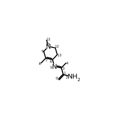 C=C(N)/C(C)=N/C1=C(C)CN(C)CC1